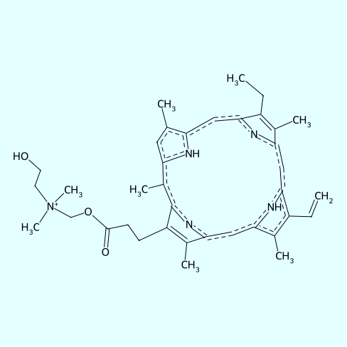 C=Cc1c(C)c2cc3nc(c(C)c4cc(C)c(cc5nc(cc1[nH]2)C(C)=C5CC)[nH]4)C(CCC(=O)OC[N+](C)(C)CCO)=C3C